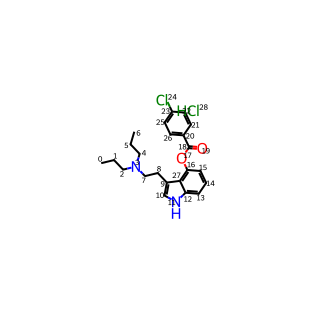 CCCN(CCC)CCc1c[nH]c2cccc(OC(=O)c3ccc(Cl)cc3)c12.Cl